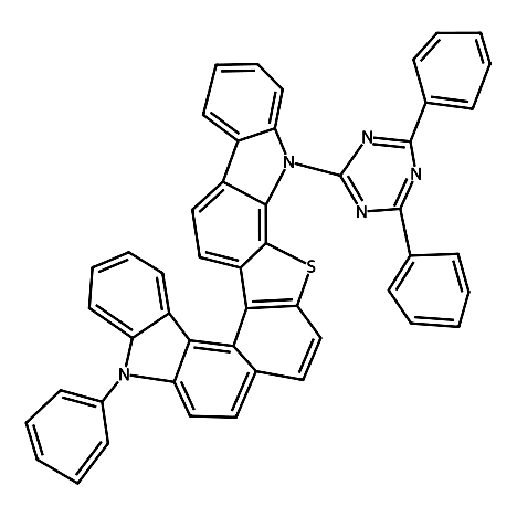 c1ccc(-c2nc(-c3ccccc3)nc(-n3c4ccccc4c4ccc5c(sc6ccc7ccc8c(c9ccccc9n8-c8ccccc8)c7c65)c43)n2)cc1